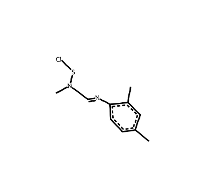 Cc1ccc(N=CN(C)SCl)c(C)c1